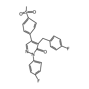 CS(=O)(=O)c1ccc(-c2cnn(-c3ccc(F)cc3)c(=O)c2Cc2ccc(F)cc2)cc1